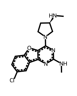 CNc1nc(N2CC[C@@H](NC)C2)c2oc3ccc(Cl)cc3c2n1